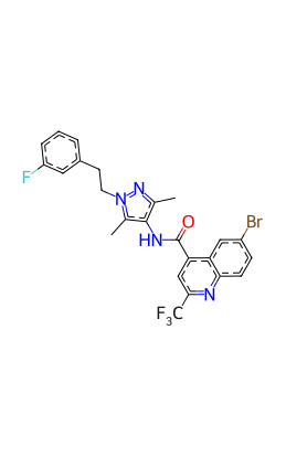 Cc1nn(CCc2cccc(F)c2)c(C)c1NC(=O)c1cc(C(F)(F)F)nc2ccc(Br)cc12